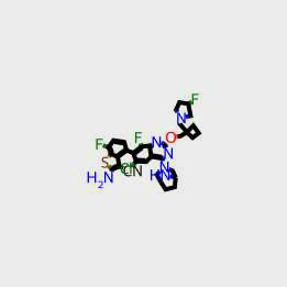 N#Cc1c(N)sc2c(F)ccc(-c3c(Cl)cc4c(N5CC6CCC(C5)N6)nc(OCC5(CN6CCC(F)C6)CCC5)nc4c3F)c12